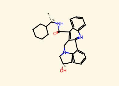 C[C@H](NC(=O)c1c(CN2CC[C@H](O)C2)c(-c2ccccc2)nc2ccccc12)C1CCCCC1